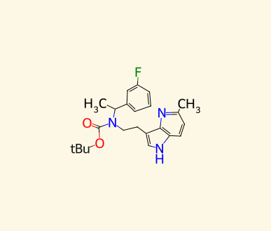 Cc1ccc2[nH]cc(CCN(C(=O)OC(C)(C)C)C(C)c3cccc(F)c3)c2n1